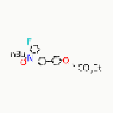 CCCCC(=O)N(Cc1ccc(-c2ccc(OCCCC(=O)OCC)cc2)cc1)c1cccc(F)c1